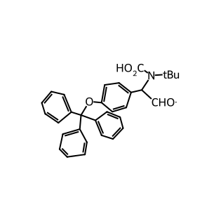 CC(C)(C)N(C(=O)O)C([C]=O)c1ccc(OC(c2ccccc2)(c2ccccc2)c2ccccc2)cc1